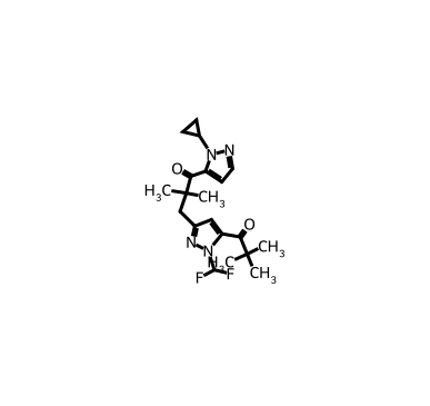 CC(C)(C)C(=O)c1cc(CC(C)(C)C(=O)c2ccnn2C2CC2)nn1C(F)F